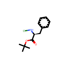 CC(C)(C)OC(=O)[C@H](Cc1ccccc1)NCl